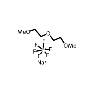 COCCOCCOC.F[P-](F)(F)(F)(F)F.[Na+]